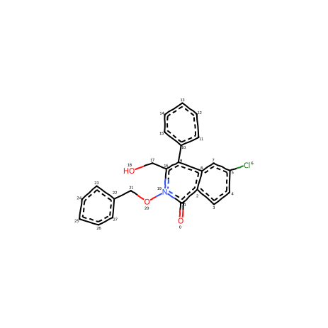 O=c1c2ccc(Cl)cc2c(-c2ccccc2)c(CO)n1OCc1ccccc1